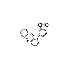 O=Cc1cccc(-c2cccc3c2Sc2ccccc2S3)c1